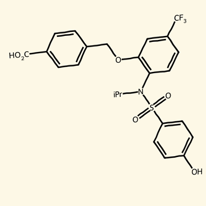 CC(C)N(c1ccc(C(F)(F)F)cc1OCc1ccc(C(=O)O)cc1)S(=O)(=O)c1ccc(O)cc1